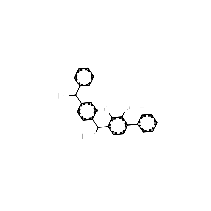 CC(c1ccccc1)c1ccc(C(C)c2ccc(-c3ccccc3)c(S(=O)(=O)O)c2O)cc1